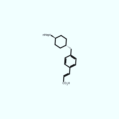 CCCCCCC[C@H]1CC[C@H](Cc2ccc(C=CC(=O)O)cc2)CC1